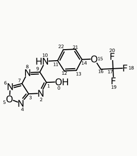 Oc1nc2nonc2nc1Nc1ccc(OCC(F)(F)F)cc1